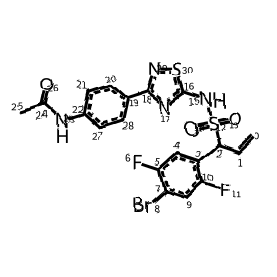 C=CC(c1cc(F)c(Br)cc1F)S(=O)(=O)Nc1nc(-c2ccc(NC(C)=O)cc2)ns1